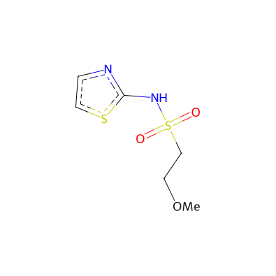 COCCS(=O)(=O)Nc1nccs1